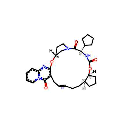 O=C1N[C@@H](C2CCCC2)C(=O)N2CC[C@H](C2)Oc2nc3ccccn3c(=O)c2C/C=C/CC[C@@H]2CCC[C@@H]2O1